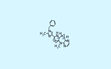 Cc1nc(C(=O)N[C@@H]2C(=O)N(C)c3nccnc3[C@@H]3C[C@H]23)cn1Cc1ccccc1